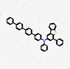 c1ccc(-c2ccc(-c3ccc(-c4ccc(N(c5ccccc5)c5cc(-c6ccccc6)c6sc7ccccc7c6c5)cc4)cc3)cc2)cc1